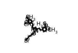 COc1ccc(C=Cc2cc(C=Cc3ccc(OC)c(OC)c3)nc(OCCCCCBr)n2)cc1OC